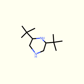 CC(C)(C)C1CNCC(C(C)(C)C)N1